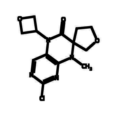 CN1c2nc(Cl)ncc2N(C2COC2)C(=O)C12CCOC2